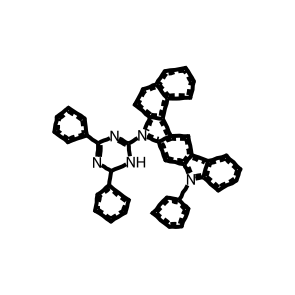 c1ccc(C2=NC(c3ccccc3)NC(n3c4cc5c(cc4c4c6ccccc6ccc43)c3ccccc3n5-c3ccccc3)=N2)cc1